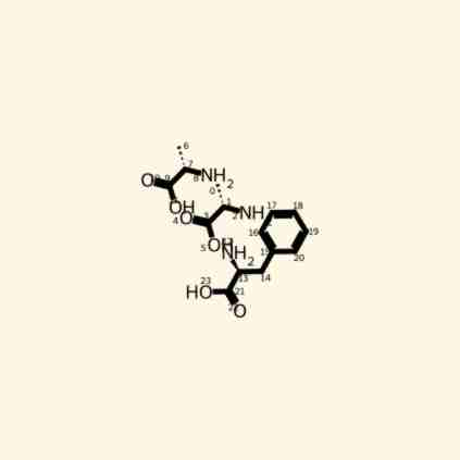 C[C@H](N)C(=O)O.C[C@H](N)C(=O)O.N[C@@H](Cc1ccccc1)C(=O)O